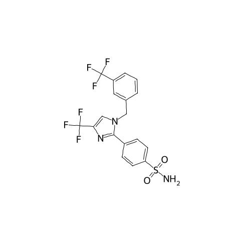 NS(=O)(=O)c1ccc(-c2nc(C(F)(F)F)cn2Cc2cccc(C(F)(F)F)c2)cc1